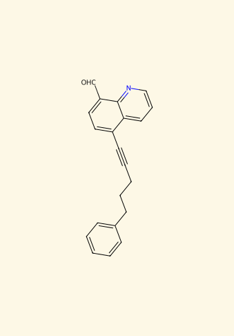 O=Cc1ccc(C#CCCCc2ccccc2)c2cccnc12